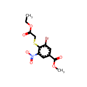 CCOC(=O)CSc1c(Br)cc(C(=O)OC)cc1[N+](=O)[O-]